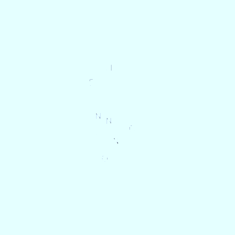 O=C1c2ccccc2C(=O)N1c1ccn(Cc2cccc(Cl)c2F)n1